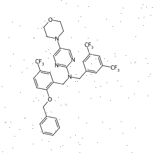 FC(F)(F)c1cc(CN(Cc2cc(C(F)(F)F)ccc2OCc2ccccc2)c2ncc(N3CCOCC3)cn2)cc(C(F)(F)F)c1